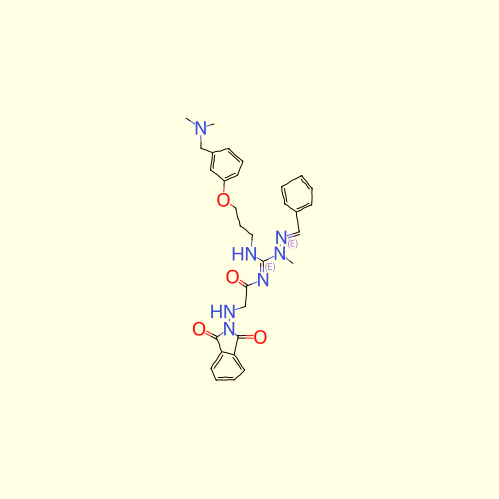 CN(C)Cc1cccc(OCCCN/C(=N\C(=O)CNN2C(=O)c3ccccc3C2=O)N(C)/N=C/c2ccccc2)c1